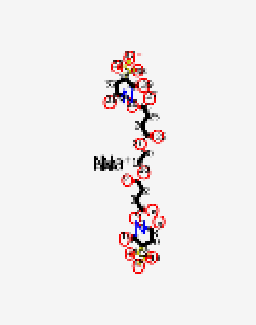 O=C(CCC(=O)ON1C(=O)CC(S(=O)(=O)[O-])C1=O)OCCOC(=O)CCC(=O)ON1C(=O)CC(S(=O)(=O)[O-])C1=O.[Na+].[Na+]